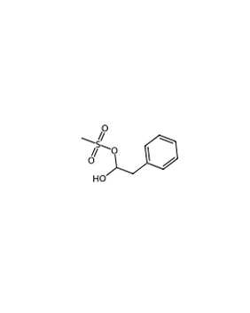 CS(=O)(=O)OC(O)Cc1ccccc1